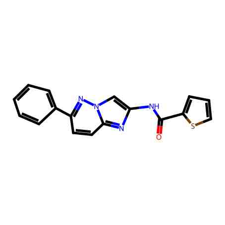 O=C(Nc1cn2nc(-c3ccccc3)ccc2n1)c1cccs1